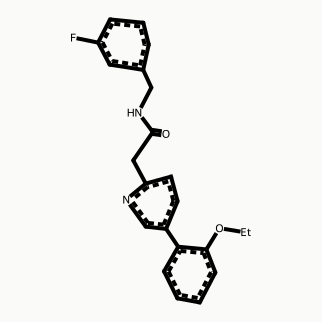 CCOc1ccccc1-c1ccc(CC(=O)NCc2cccc(F)c2)nc1